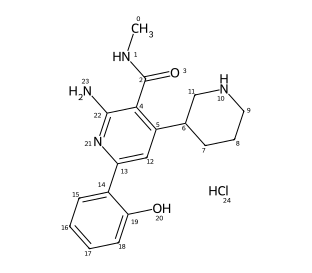 CNC(=O)c1c(C2CCCNC2)cc(-c2ccccc2O)nc1N.Cl